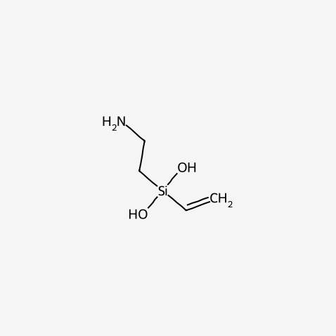 C=C[Si](O)(O)CCN